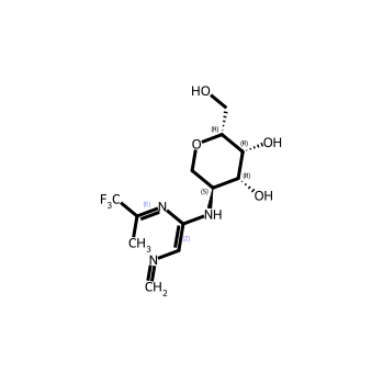 C=N/C=C(\N=C(/C)C(F)(F)F)N[C@H]1CO[C@H](CO)[C@H](O)[C@@H]1O